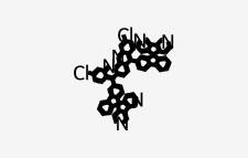 Clc1ccc2c(-c3ccc4c(c3)-c3ccccc3C43c4ccncc4-c4cnccc43)c3ccc4c(-c5ccc6c(c5)C5(c7ccccc7-6)c6ccncc6-c6cnccc65)c5ccc(Cl)cc5nc4c3nc2c1